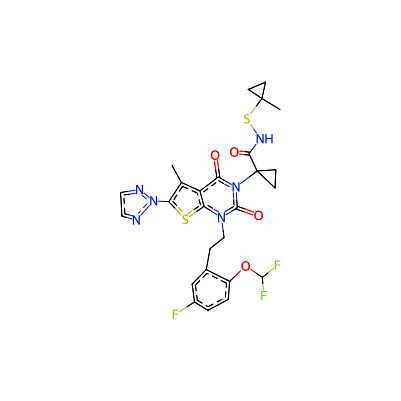 Cc1c(-n2nccn2)sc2c1c(=O)n(C1(C(=O)NSC3(C)CC3)CC1)c(=O)n2CCc1cc(F)ccc1OC(F)F